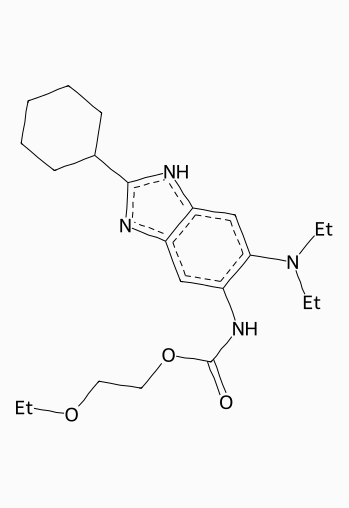 CCOCCOC(=O)Nc1cc2nc(C3CCCCC3)[nH]c2cc1N(CC)CC